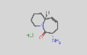 Cl.N[C@H]1CC=C[C@H]2CCCCN2C1=O